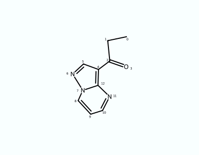 CCC(=O)c1cnn2cccnc12